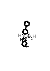 O=C(O)C1(Nc2nc3ccc(F)cc3s2)C=CC(c2ccccc2)=CC1Cl